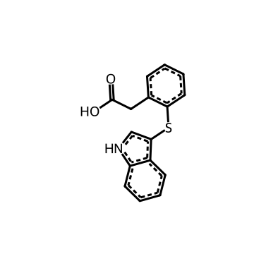 O=C(O)Cc1ccccc1Sc1c[nH]c2ccccc12